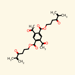 C=C(C)C(=O)CCCOC(=O)c1cc(C(C)=O)c(C(=O)OCCCC(=O)C(=C)C)cc1C(C)=O